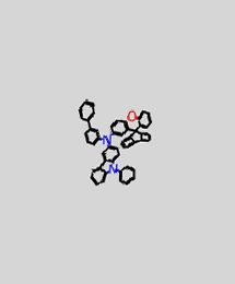 c1ccc(-c2cccc(N(c3ccc4c(c3)C3(c5ccccc5O4)c4ccccc4-c4ccccc43)c3ccc4c(c3)c3ccccc3n4-c3ccccc3)c2)cc1